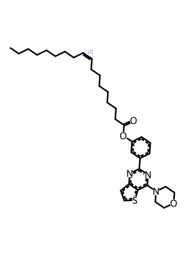 CCCCCCCC/C=C\CCCCCCCC(=O)Oc1cccc(-c2nc(N3CCOCC3)c3sccc3n2)c1